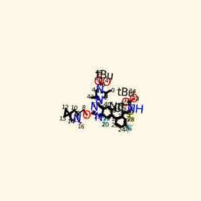 CC1CN(c2nc(OC[C@@H]3CC4(CC4)CN3C)nc3c(F)c(-c4ccc(F)c5sc(NC(=O)OC(C)(C)C)c(C#N)c45)c(C(F)(F)F)cc23)C(C)CN1C(=O)OC(C)(C)C